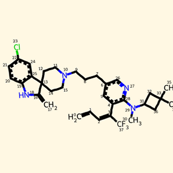 C=C/C=C(\c1cc(CCCN2CCC3(CC2)C(=C)Nc2ccc(Cl)cc23)cnc1N(C)C1CC(C)(C)C1)C(F)(F)F